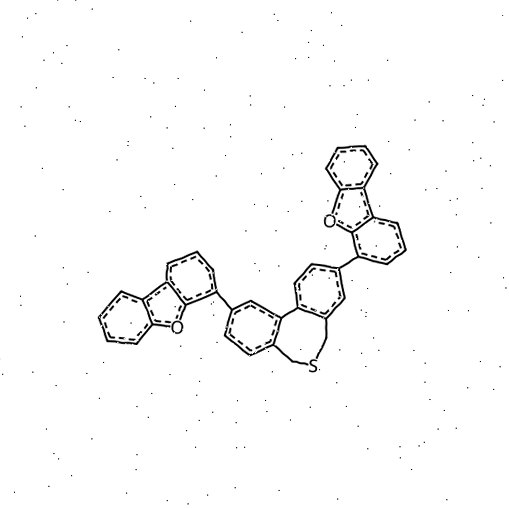 c1ccc2c(c1)oc1c(-c3ccc4c(c3)CSCc3ccc(-c5cccc6c5oc5ccccc56)cc3-4)cccc12